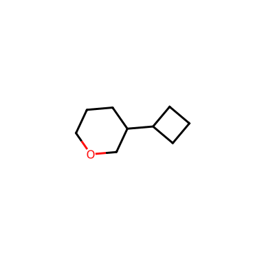 C1CC(C2CCCOC2)C1